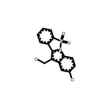 O=S1(=O)c2ccccc2-c2c(CCl)c3cc(Cl)ccc3n21